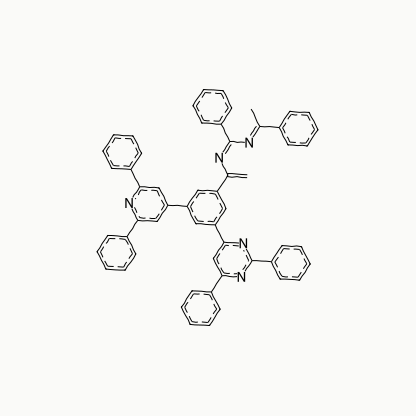 C=C(/N=C(\N=C(/C)c1ccccc1)c1ccccc1)c1cc(-c2cc(-c3ccccc3)nc(-c3ccccc3)c2)cc(-c2cc(-c3ccccc3)nc(-c3ccccc3)n2)c1